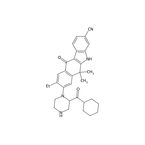 CCc1cc2c(cc1N1CCNCC1C(=O)C1CCCCC1)C(C)(C)c1[nH]c3cc(C#N)ccc3c1C2=O